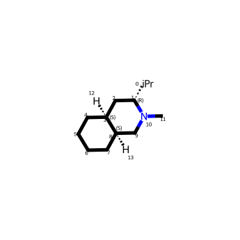 CC(C)[C@H]1C[C@@H]2CCCC[C@@H]2CN1C